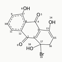 O=C1C2=C(C(=O)c3c(O)cccc31)C(O)=CCC2(O)Br